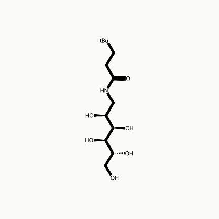 CC(C)(C)CCC(=O)NC[C@H](O)[C@@H](O)[C@H](O)[C@H](O)CO